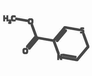 COC(=O)C1=CSCC=N1